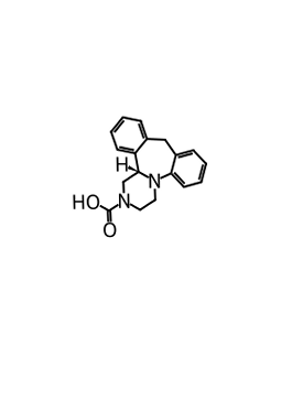 O=C(O)N1CCN2c3ccccc3Cc3ccccc3[C@H]2C1